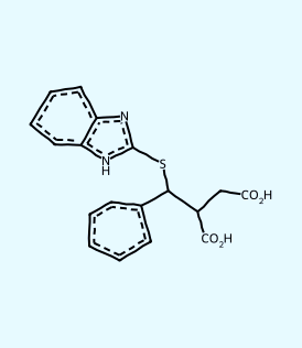 O=C(O)CC(C(=O)O)C(Sc1nc2ccccc2[nH]1)c1ccccc1